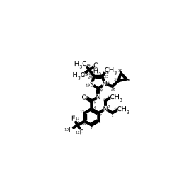 CCN(CC)c1ccc(C(F)(F)F)cc1C(=O)/N=c1\sc(C(C)(C)C)c(C)n1CC1CC1